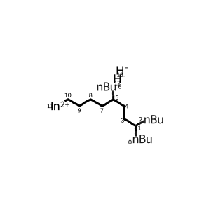 CCCCC(CCCC)CCC(CCCC)CCC[CH2][In+2].[H-].[H-]